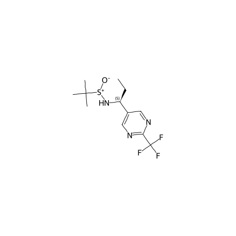 CC[C@H](N[S+]([O-])C(C)(C)C)c1cnc(C(F)(F)F)nc1